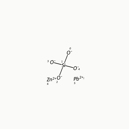 [O-][Si]([O-])([O-])[O-].[Pb+2].[Zn+2]